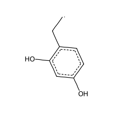 [CH2]Cc1ccc(O)cc1O